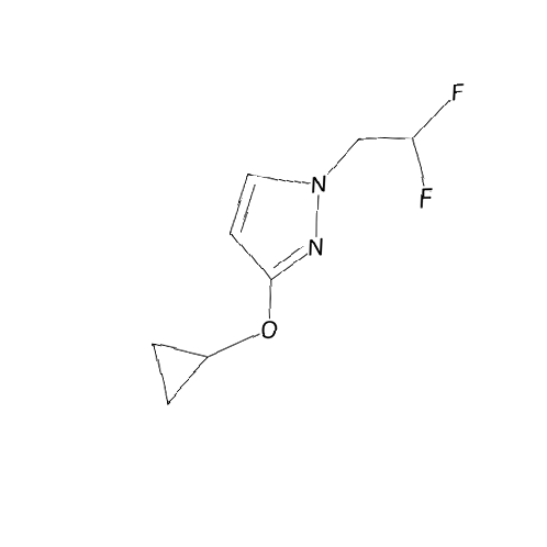 FC(F)Cn1ccc(OC2CC2)n1